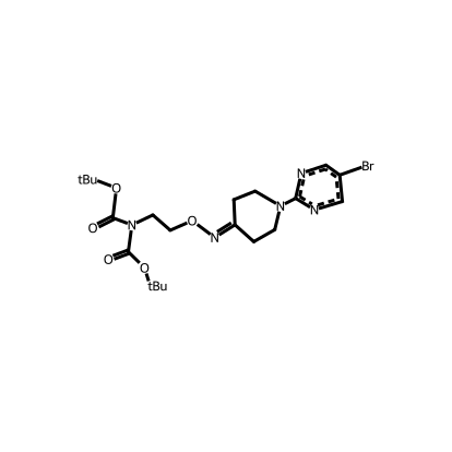 CC(C)(C)OC(=O)N(CCON=C1CCN(c2ncc(Br)cn2)CC1)C(=O)OC(C)(C)C